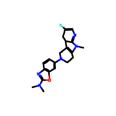 CN1C2=NC=C(F)CC2C2=C1CCN(c1ccc3nc(N(C)C)oc3c1)C2